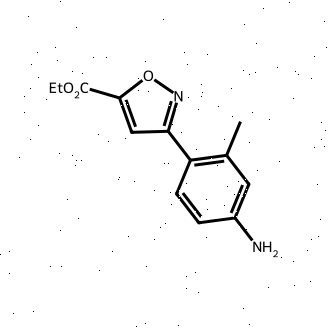 CCOC(=O)c1cc(-c2ccc(N)cc2C)no1